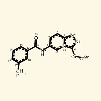 CCCSc1nnc2ccc(NC(=O)c3cccc(C)c3)cn12